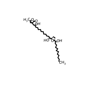 CCCCCCCCCCCC[C@@H](O)[C@H]1CC[C@H]([C@H](O)CCCCCCCCCC[C@@H](O)CC2=C[C@@H](C)OC2=O)O1